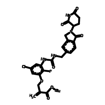 C=C(COc1cc(Cl)cc(NC(=O)NCc2ccc3c(c2)CN(C2CCC(=O)NC2=O)C3=O)c1F)C(=O)OC(C)(C)C